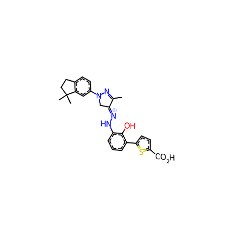 CC1=NN(c2ccc3c(c2)C(C)(C)CC3)C/C1=N\Nc1cccc(-c2ccc(C(=O)O)s2)c1O